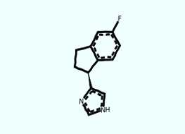 Fc1ccc2c(c1)CC[C@@H]2c1c[nH]cn1